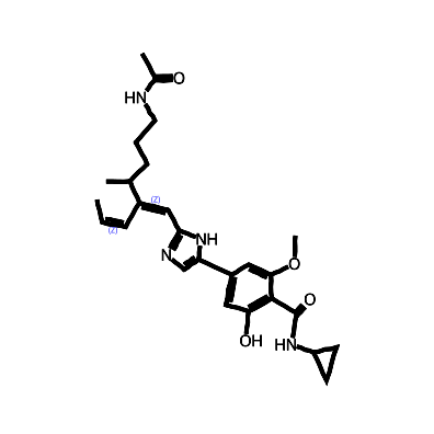 C/C=C\C(=C/c1ncc(-c2cc(O)c(C(=O)NC3CC3)c(OC)c2)[nH]1)C(C)CCCNC(C)=O